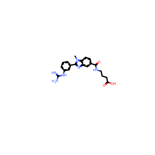 Cn1c(-c2cccc(NC(=N)N)c2)nc2cc(C(=O)NCCCC(=O)O)ccc21